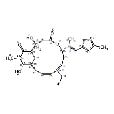 C/C(=C\c1csc(C)n1)[C@@H]1C/C=C(/CF)CCC[C@@H]2C[C@@](C)(C(=O)[C@H](C)[C@H]2O)[C@@H](O)CC(=O)O1